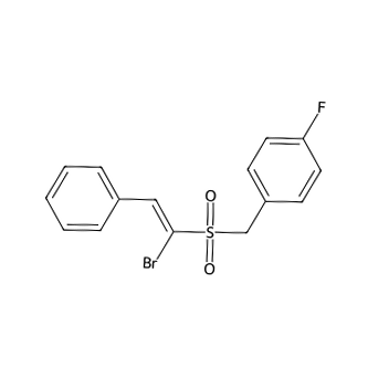 O=S(=O)(Cc1ccc(F)cc1)C(Br)=Cc1ccccc1